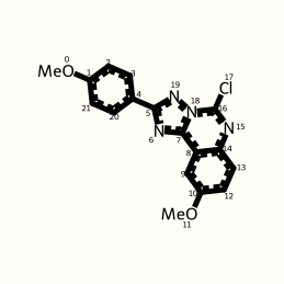 COc1ccc(-c2nc3c4cc(OC)ccc4nc(Cl)n3n2)cc1